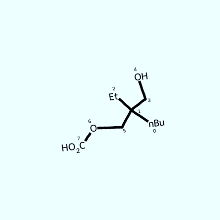 CCCCC(CC)(CO)COC(=O)O